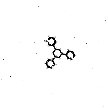 c1cncc(C2CC(c3cccnc3)CC(c3cccnc3)C2)c1